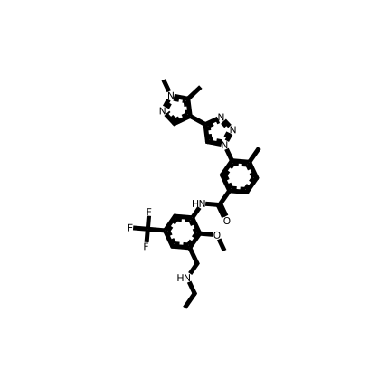 CCNCc1cc(C(F)(F)F)cc(NC(=O)c2ccc(C)c(-n3cc(-c4cnn(C)c4C)nn3)c2)c1OC